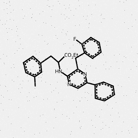 CCOC(=O)C(Cc1cccc(C)c1)Nc1ncc(-c2ccccc2)nc1Cc1ccccc1F